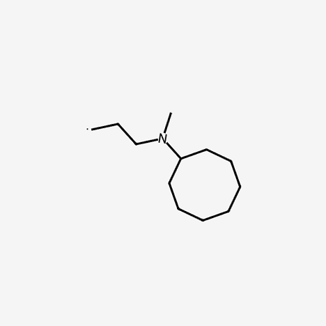 [CH2]CCN(C)C1CCCCCCC1